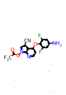 N#Cc1cn(OC(=O)C(F)(F)F)c2nccc(Oc3c(F)cc(N)cc3F)c12